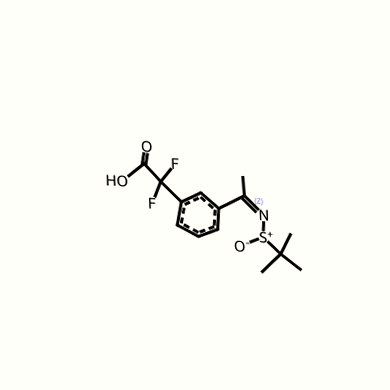 C/C(=N/[S+]([O-])C(C)(C)C)c1cccc(C(F)(F)C(=O)O)c1